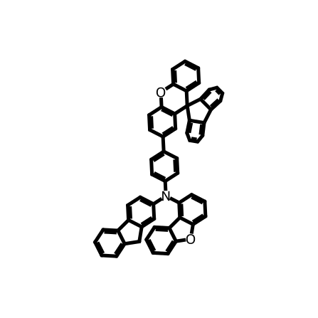 c1ccc2c(c1)Cc1cc(N(c3ccc(-c4ccc5c(c4)C4(c6ccccc6O5)c5ccccc5-c5ccccc54)cc3)c3cccc4oc5ccccc5c34)ccc1-2